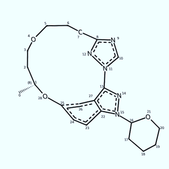 C[C@@H]1CCOCCCc2ncn(n2)-c2nn(C3CCCCO3)c3ccc(cc23)O1